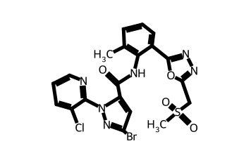 Cc1cccc(-c2nnc(CS(C)(=O)=O)o2)c1NC(=O)c1cc(Br)nn1-c1ncccc1Cl